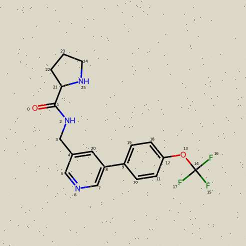 O=C(NCc1cncc(-c2ccc(OC(F)(F)F)cc2)c1)C1CCCN1